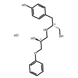 Cl.OC[C@@H](Cc1ccc(O)cc1)NC[C@H](O)COc1ccccc1